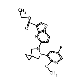 CCOC(=O)c1cnn2ccc(N3CC4(CC4)CN3c3cc(F)cnc3OC)nc12